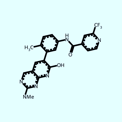 CNc1ncc2cc(-c3cc(NC(=O)c4ccnc(C(F)(F)F)c4)ccc3C)c(O)nc2n1